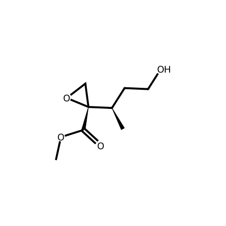 COC(=O)[C@]1([C@H](C)CCO)CO1